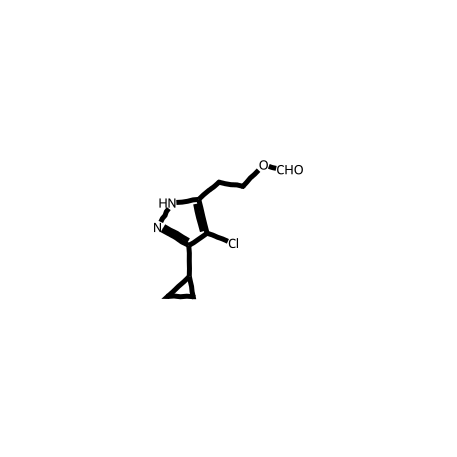 O=COCCc1[nH]nc(C2CC2)c1Cl